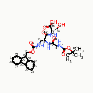 CC(C)(C)OC(=O)NCC(=O)N[C@@H](CNC(=O)OCC1c2ccccc2-c2ccccc21)C(=O)N[C@@H](CO)C(=O)O